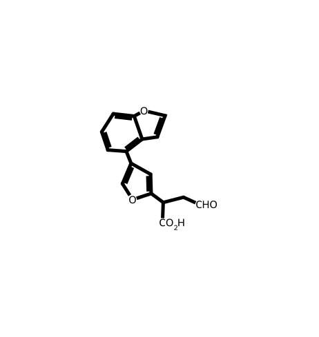 O=CCC(C(=O)O)c1cc(-c2cccc3occc23)co1